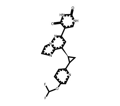 O=c1[nH]cc(-c2cc([C@H]3CC3c3ccc(OC(F)F)cn3)c3nccn3n2)c(=O)[nH]1